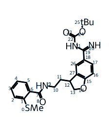 CSc1ccccc1C(=O)NCCC1COc2ccc(C(=N)NC(=O)OC(C)(C)C)cc21